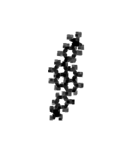 C[Si](C)(C)c1ccc(-c2ccc3ccc4c(-c5ccc([Si](C)(C)C)cc5)ccc5ccc2c3c54)cc1